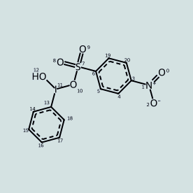 O=[N+]([O-])c1ccc(S(=O)(=O)OI(O)c2ccccc2)cc1